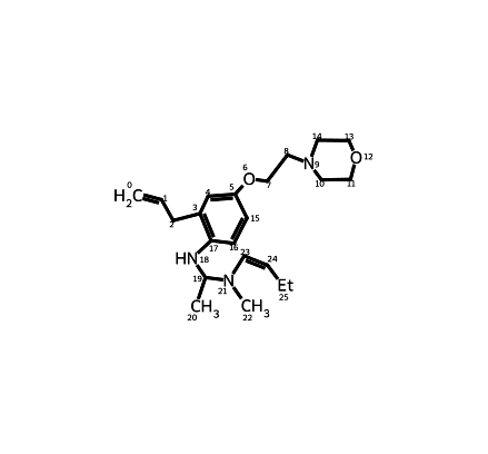 C=CCc1cc(OCCN2CCOCC2)ccc1NC(C)N(C)/C=C\CC